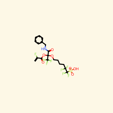 C=C(F)C(=O)OC(OCCCCC(F)(F)C(F)(F)S(=O)(=O)O)(C(=O)NCc1ccccc1)C(F)(F)F